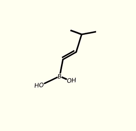 CC(C)/C=C/B(O)O